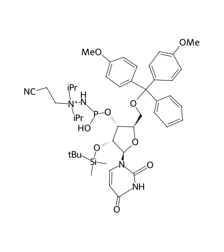 COc1ccc(C(OC[C@H]2O[C@@H](n3ccc(=O)[nH]c3=O)[C@H](O[Si](C)(C)C(C)(C)C)[C@@H]2OP(O)N[N+](CCC#N)(C(C)C)C(C)C)(c2ccccc2)c2ccc(OC)cc2)cc1